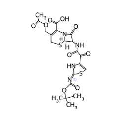 CC(=O)OCC1=C(C(=O)O)N2C(=O)C(NC(=O)C(=O)c3cs/c(=N\C(=O)OC(C)(C)C)[nH]3)[C@H]2SC1